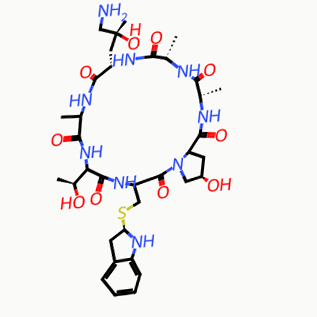 CC1NC(=O)[C@H](C[C@@](C)(O)CN)NC(=O)[C@H](C)NC(=O)[C@H](C)NC(=O)C2C[C@@H](O)CN2C(=O)C(CS[C@@H]2Cc3ccccc3N2)NC(=O)C([C@H](C)O)NC1=O